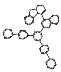 C1=CC2Oc3ccccc3C2C(c2cc(-c3nc(-c4ccc(-c5ccccc5)cc4)nc(-c4ccc(-c5ccccc5)cc4)n3)cc3ccccc23)=C1